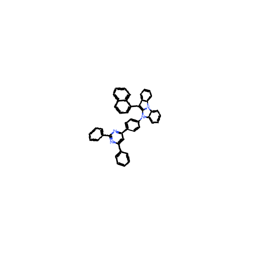 c1ccc(-c2cc(-c3ccc(-n4c5ccccc5n5c6ccccc6c(-c6cccc7ccccc67)c45)cc3)nc(-c3ccccc3)n2)cc1